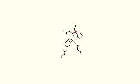 CCCCCCCCCOC(=O)CC[C@@H](C)[C@H]1CC[C@@H](C)[C@]1(C)[C@H](C[C@@H](C)[C@@]1(C)CC[C@@H](OC(=O)CCN)CC1C[C@H](C)OC(=O)CCN)OC(=O)CCN